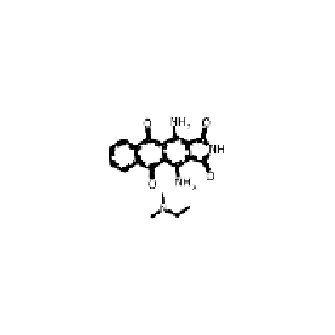 CCN(C)C.Nc1c2c(=O)[nH]c(=O)c2c(N)c2c(=O)c3ccccc3c(=O)c12